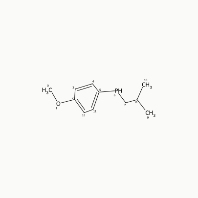 COc1ccc(PCC(C)C)cc1